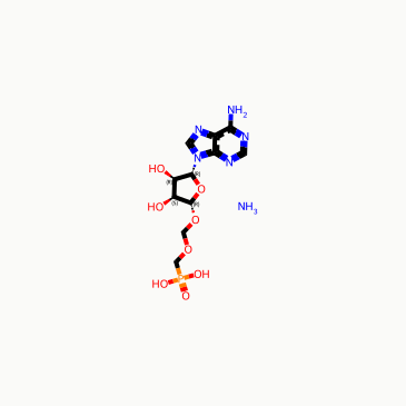 N.Nc1ncnc2c1ncn2[C@@H]1O[C@H](OCOCP(=O)(O)O)[C@@H](O)[C@H]1O